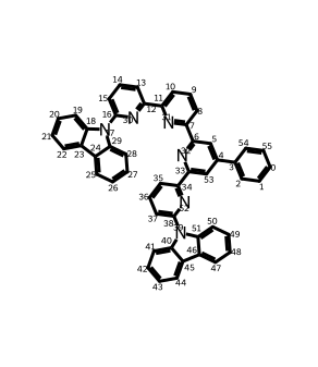 c1ccc(-c2cc(-c3cccc(-c4cccc(-n5c6ccccc6c6ccccc65)n4)n3)nc(-c3cccc(-n4c5ccccc5c5ccccc54)n3)c2)cc1